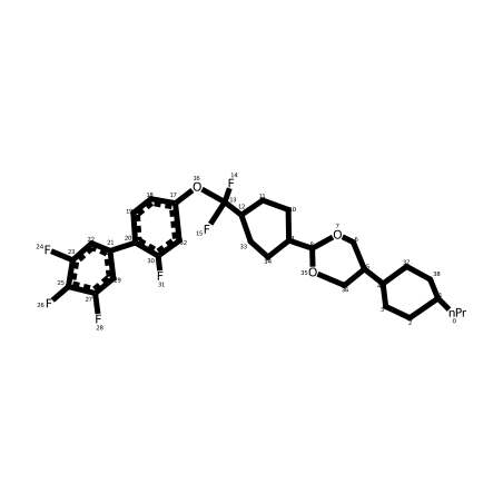 CCCC1CCC(C2COC(C3CCC(C(F)(F)Oc4ccc(-c5cc(F)c(F)c(F)c5)c(F)c4)CC3)OC2)CC1